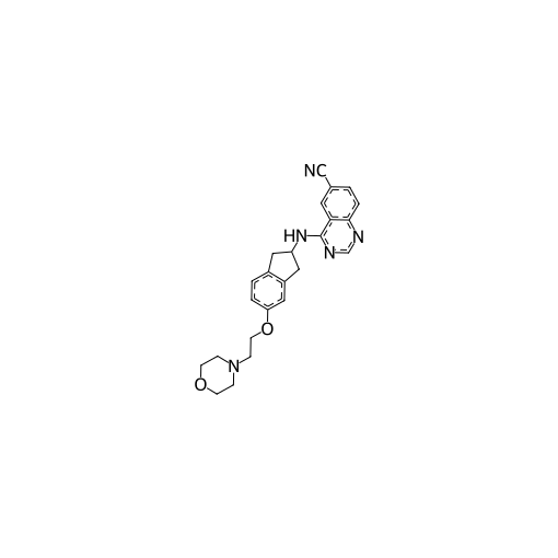 N#Cc1ccc2ncnc(NC3Cc4ccc(OCCN5CCOCC5)cc4C3)c2c1